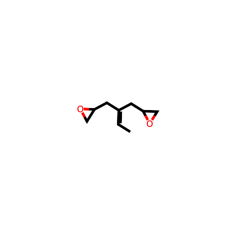 CC=C(CC1CO1)CC1CO1